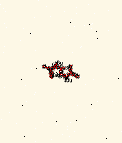 CC(C)(C)OC(=O)N(c1ccc(N(C(=O)OC(C)(C)C)c2ccc(N(C(=O)OC(C)(C)C)c3ccc(N(c4ccc(-c5ccccc5)cc4)c4ccc(-c5ccccc5)cc4)cc3)cc2)cc1)c1ccc(N(C(=O)OC(C)(C)C)c2ccc(N(c3ccc(-c4ccccc4)cc3)c3ccc(-c4ccccc4)cc3)cc2)cc1